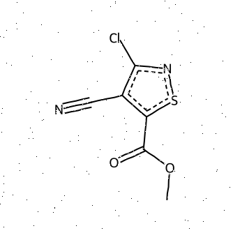 COC(=O)c1snc(Cl)c1C#N